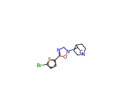 Brc1ccc(C2=NCN(C3CN4CCC3CC4)O2)s1